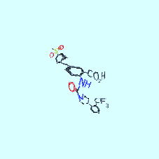 CS(=O)(=O)c1ccc(-c2ccc(NC(=O)N3CCC(c4ccccc4C(F)(F)F)CC3)c(C(=O)O)c2)cc1